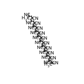 CC(C#N)CC(C#N)CC(C#N)CC(C#N)CC(C#N)CC(C#N)CC(C#N)CC(C#N)CC(C#N)CC(C#N)CC(C#N)CC(C#N)CC(C#N)CC(C#N)CC(C#N)CC(C#N)CC(C#N)CC(C#N)CC(C#N)CC(C)C#N